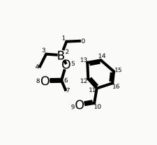 CCB(CC)OC(C)=O.O=Cc1ccccc1